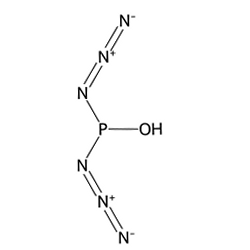 [N-]=[N+]=NP(O)N=[N+]=[N-]